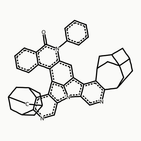 O=c1c2ccccc2c2c3c4c5c(ncc4n4c6cnc7c(c6c(cc2n1-c1ccccc1)c34)C1CC2CC3CC7CC32C1)C1CC2CC(C1)CC5C2